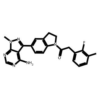 Cc1cccc(CC(=O)N2CCc3cc(-c4nn(C)c5ncnc(N)c45)ccc32)c1F